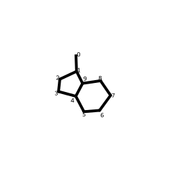 CC1CCC2CCCCC12